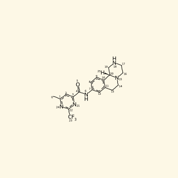 Cc1cc(C(=O)Nc2ccc3c(c2)CCN2CCNC[C@@H]32)nc(C(F)(F)F)n1